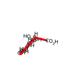 C[C@@H](CSCC(=O)NCCNC(=O)COCCOCCNC(=O)COCCOCCNC(=O)CC[C@H](NC(O)CCCCCCCCCCCCCCC(=O)O)C(=O)O)C(=O)S